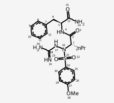 CCC[C@@H](C(=O)N[C@@H](Cc1ccccc1)C(N)=O)N(NC(=N)N)S(=O)(=O)c1ccc(OC)cc1